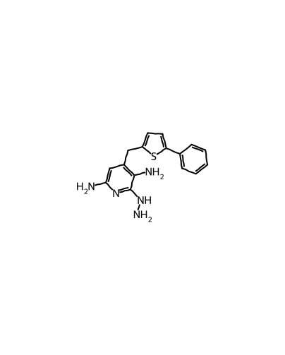 NNc1nc(N)cc(Cc2ccc(-c3ccccc3)s2)c1N